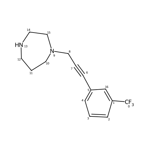 FC(F)(F)c1cccc(C#CCN2CCCNCC2)c1